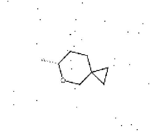 C[C@@H]1CCC2(CC2)CO1